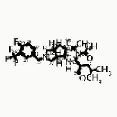 CC(C)CC(C=O)[C@@H](N[C@@H]1CC[C@H]2CN(Cc3ccc(F)c(C(F)(F)F)c3)C[C@H]21)N(C(=O)O)C(C)(C)C